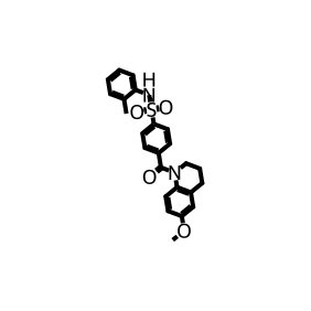 COc1ccc2c(c1)CCCN2C(=O)c1ccc(S(=O)(=O)Nc2ccccc2C)cc1